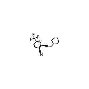 N#Cc1ccc(C(F)(F)F)nc1C#CCC1CCCCC1